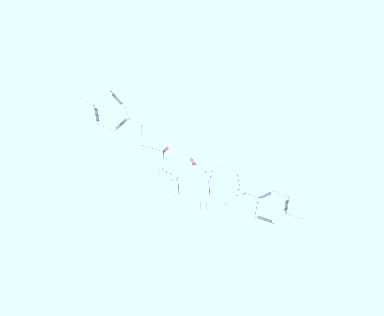 CC(C)[C@@H](NC(=O)CCc1ccc(Cl)cc1)C(=O)N1CCN(c2ccc(Cl)c(Cl)c2)CC1